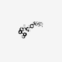 CC(C)(C)OC(=O)N1CCC(N/C=C(\C=N)Nc2ncc3cccc(-c4cccc5c4OCC5)c3n2)CC1